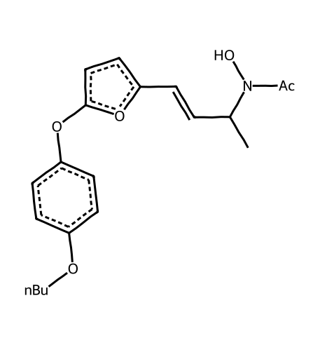 CCCCOc1ccc(Oc2ccc(C=CC(C)N(O)C(C)=O)o2)cc1